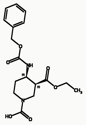 CCOC(=O)[C@H]1CN(C(=O)O)CC[C@H]1NC(=O)OCc1ccccc1